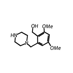 COc1cc(CN2CCNCC2)c(CO)c(OC)c1